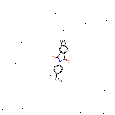 Cc1ccc(N2C(=O)c3ccc(C)cc3C2=O)cc1